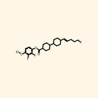 CCOc1ccc(OC(=O)C2CCC(C3CCC(/C=C/CCCF)CC3)CC2)c(F)c1F